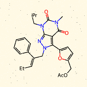 CCC=C(Cn1nc2c(c1-c1ccc(COC(C)=O)o1)c(=O)n(C)c(=O)n2CC(C)C)c1ccccc1